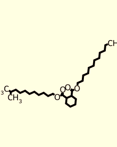 CCCCCCCCCCCCOC(=O)C1CCCCC1C(=O)OCCCCCCCCCC(C)C